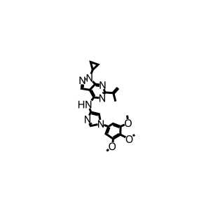 C=C(C)c1nc(Nc2cn(-c3cc(OC)c(OC)c(OC)c3)cn2)c2cnn(C3CC3)c2n1